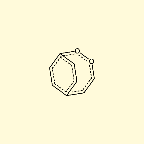 c1cc2ccc(cc2)oo1